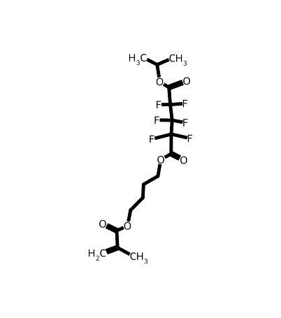 C=C(C)C(=O)OCCCCOC(=O)C(F)(F)C(F)(F)C(F)(F)C(=O)OC(C)C